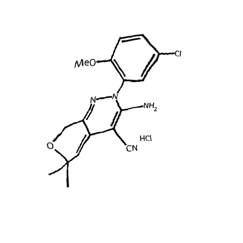 COc1ccc(Cl)cc1N1N=C2COC(C)(C)C=C2C(C#N)=C1N.Cl